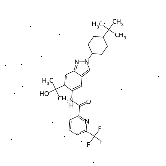 CC(C)(O)c1cc2nn(C3CCC(C(C)(C)C)CC3)cc2cc1NC(=O)c1cccc(C(F)(F)F)n1